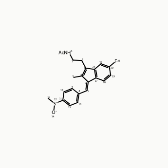 CC(=O)NCCC1=C(C)C(=Cc2ccc([S+](C)[O-])cc2)c2ccc(F)cc21